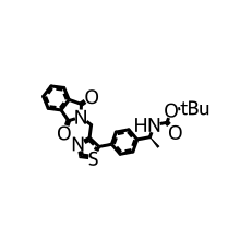 C[C@H](NC(=O)OC(C)(C)C)c1ccc(-c2scnc2CN2C(=O)c3ccccc3C2=O)cc1